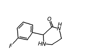 O=C1NCCNC1c1cccc(F)c1